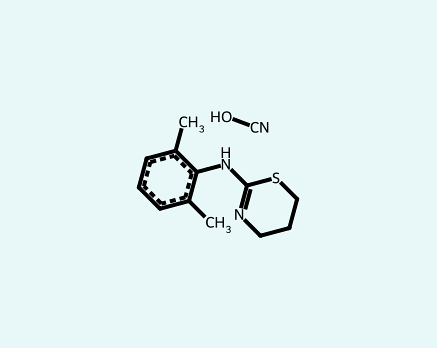 Cc1cccc(C)c1NC1=NCCCS1.N#CO